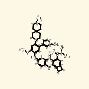 COc1cc(N2CCC3(CCN(C)CC3)CC2)c(-c2cnn(C)c2)cc1Nc1ncc(Br)c(Nc2cc3c(cc2N(C)[S+](C)[O-])CC3)n1